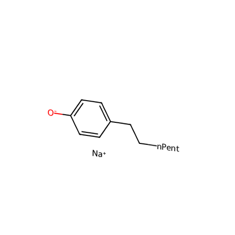 CCCCCCCc1ccc([O-])cc1.[Na+]